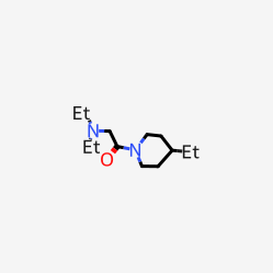 CCC1CCN(C(=O)CN(CC)CC)CC1